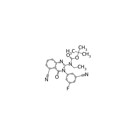 CCN(C(=O)OC(C)(C)C)c1nc2cccc(C#N)c2c(=O)n1-c1cc(F)cc(C#N)c1